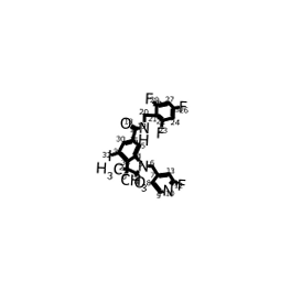 CC1(C)C(=O)N(Cc2ccnc(F)c2)c2cc(C(=O)NCc3c(F)cc(F)cc3F)cc(I)c21